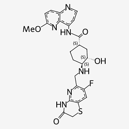 COc1ccc2nccc(NC(=O)[C@H]3CC[C@H](NCc4nc5c(cc4F)SCC(=O)N5)[C@@H](O)C3)c2n1